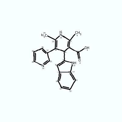 CC1=C(C(=O)O)C(c2cc3ccccc3[nH]2)C(c2cccnc2)=C(C)N1